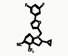 N#Cc1ccc2c(c1C(F)(F)F)CC(C1CC1)N2Cc1ccc(-c2cc(F)cc(F)c2)o1